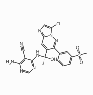 C[C@](O)(Nc1ncnc(N)c1C#N)c1cc2ncc(Cl)n2nc1-c1cccc(S(C)(=O)=O)c1